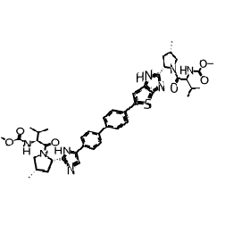 COC(=O)NC(C(=O)N1C[C@@H](C)C[C@H]1c1nc2sc(-c3ccc(-c4ccc(-c5cnc([C@@H]6C[C@H](C)CN6C(=O)[C@@H](NC(=O)OC)C(C)C)[nH]5)cc4)cc3)cc2[nH]1)C(C)C